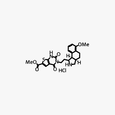 COC(=O)c1cc2c(=O)n(CCC3NC[C@@H]4CCc5c(OC)cccc5[C@H]34)c(=O)[nH]c2s1.Cl